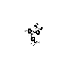 CCOc1cccc(CCc2ccc(Cl)cc2C(=O)Nc2ccc(C(=N)N)cc2)c1OCC(=O)O